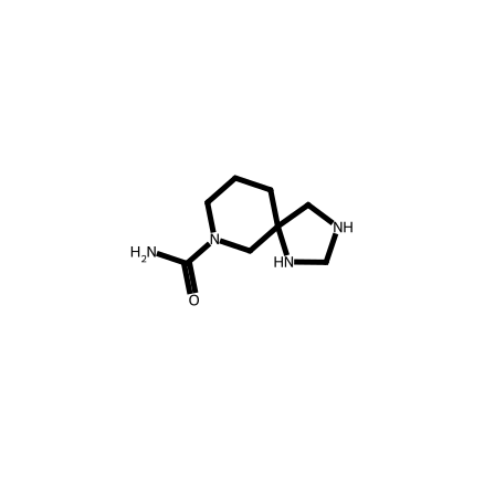 NC(=O)N1CCCC2(CNCN2)C1